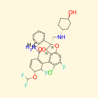 CO[C@H]1c2c(cc(F)c(Cl)c2C2=C(C(N)=O)C=CC(OC(F)F)C2F)O[C@]1(CN[C@H]1CC[C@H](O)CC1)c1ccccc1